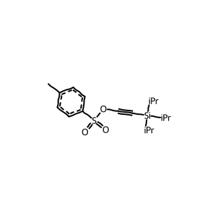 Cc1ccc(S(=O)(=O)OC#C[Si](C(C)C)(C(C)C)C(C)C)cc1